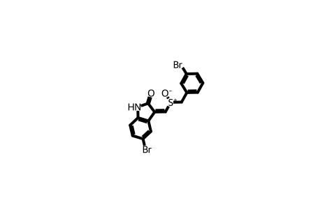 O=C1Nc2ccc(Br)cc2C1=C[S+]([O-])Cc1cccc(Br)c1